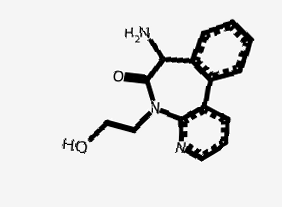 NC1C(=O)N(CCO)c2ncccc2-c2ccccc21